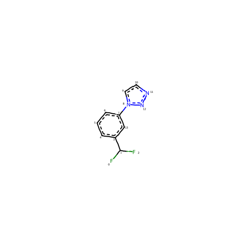 FC(F)c1cccc(-n2c[c]nn2)c1